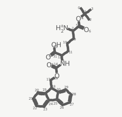 CC(C)(C)OC(=O)C(N)CCCC(NC(=O)OCC1c2ccccc2-c2ccccc21)C(=O)O